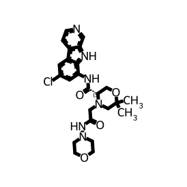 CC1(C)CN(CC(=O)NN2CCOCC2)[C@H](C(=O)Nc2cc(Cl)cc3c2[nH]c2cnccc23)CO1